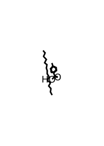 CCCCCCCCCCCCCCCC.Cc1ccc(C(=O)O)cc1